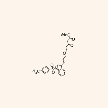 COC(=O)CC(=O)CCOC/C=C/c1cn(S(=O)(=O)c2ccc(C)cc2)c2ccccc12